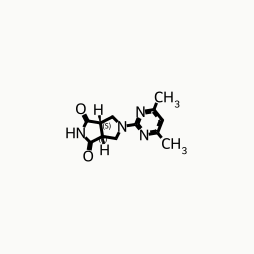 Cc1cc(C)nc(N2C[C@@H]3C(=O)NC(=O)[C@@H]3C2)n1